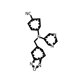 N#Cc1ccc(N(Cc2ccc3nonc3c2)c2cncnc2)cc1